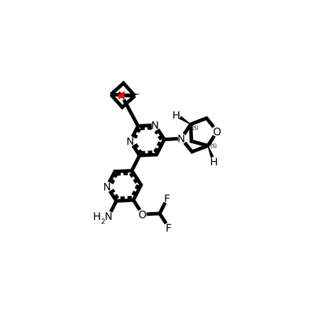 Nc1ncc(-c2cc(N3C[C@@H]4C[C@H]3CO4)nc(N3CC4CC3C4)n2)cc1OC(F)F